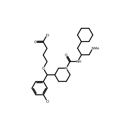 CCC(=O)CCCOC(c1cccc(Cl)c1)C1CCCN(C(=O)NC(CNC)CC2CCCCC2)C1